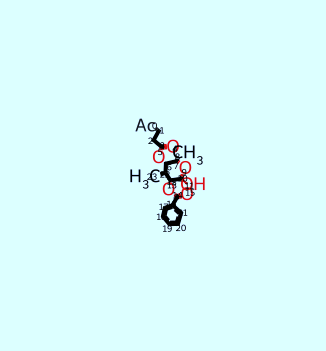 CC(=O)CCC(=O)O[C@@H]1C(C)O[C@@H](O)[C@@H](OC(=O)c2ccccc2)C1C